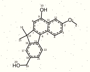 COc1ccc2c3c(cc(O)c2c1)C(C)(C)c1cc(CO)ccc1-3